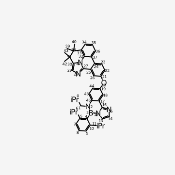 CC(C)CN1B(c2c(C(C)C)cccc2C(C)C)n2ccnc2-c2cc(Oc3ccc4c(c3)c3ncc5n3c3c(cccc43)C(C)(C)C5(C)C)ccc21